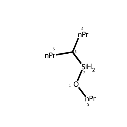 CCCO[SiH2]C(CCC)CCC